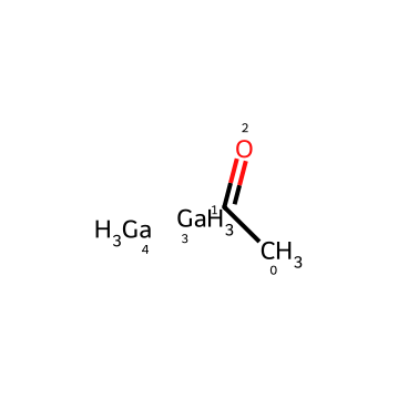 CC=O.[GaH3].[GaH3]